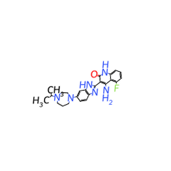 CC(C)N1CCCN(c2ccc3nc(-c4c(N)c5c(F)cccc5[nH]c4=O)[nH]c3c2)CC1